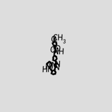 COc1ccc(S(=O)(=O)NCc2ccc(-c3nnc4n3-c3cccnc3Nc3ccccc3-4)cc2)cc1